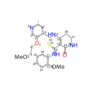 COCCOc1cnccc1CNC1=C(C(=S)Nc2ccccc2OC)C(=O)NCC1